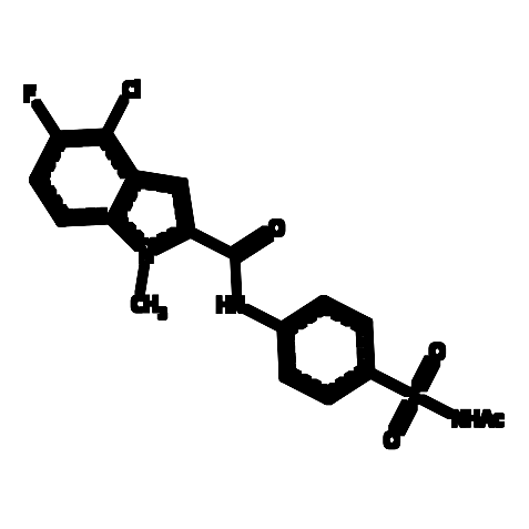 CC(=O)NS(=O)(=O)c1ccc(NC(=O)c2cc3c(Cl)c(F)ccc3n2C)cc1